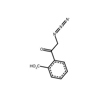 [N-]=[N+]=NCC(=O)c1ccccc1C(=O)O